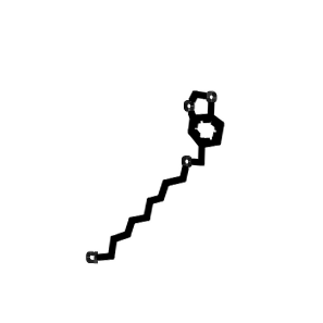 ClCCCCCCCCCOCc1ccc2c(c1)OCO2